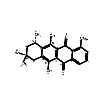 COc1cccc2c1C(=O)c1c(O)c3c(c(O)c1C2=O)C[C@@](C)(C(C)=O)C[C@@H]3C